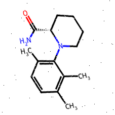 Cc1ccc(C)c(N2CCCC[C@H]2C(N)=O)c1C